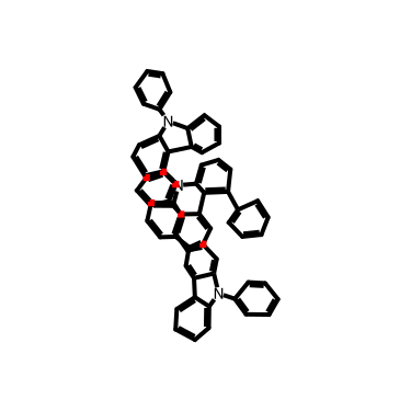 c1ccc(-c2ccccc2-c2c(-c3ccccc3)cccc2N(c2cccc(-c3ccc4c(c3)c3ccccc3n4-c3ccccc3)c2)c2cccc3c2c2ccccc2n3-c2ccccc2)cc1